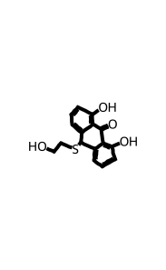 O=C1c2c(O)cccc2C(SCCO)c2cccc(O)c21